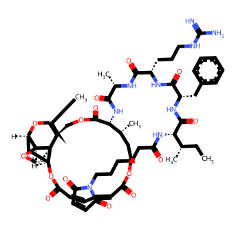 CC[C@H](C)[C@H](NC(=O)CCCCCN1C(=O)C=CC1=O)C(=O)N[C@@H](Cc1ccccc1)C(=O)N[C@@H](CCCNC(=N)N)C(=O)N[C@@H](C)C(=O)N[C@H]1C(=O)OC[C@]23CCC(C)=CC2O[C@@H]2C[C@H](OC(=O)/C=C\C=C\C(=O)OCC[C@H]1C)[C@@]3(C)[C@]21CO1